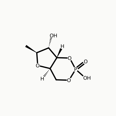 C[C@@H]1O[C@@H]2COP(=O)(O)O[C@H]2[C@H]1O